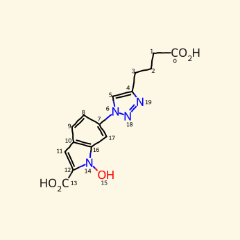 O=C(O)CCCc1cn(-c2ccc3cc(C(=O)O)n(O)c3c2)nn1